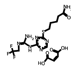 NC(=O)CCCCSc1ncnc(N/C(N)=N\CC(F)(F)F)n1.O=C(O)/C=C\C(=O)O